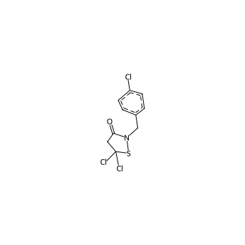 O=C1CC(Cl)(Cl)SN1Cc1ccc(Cl)cc1